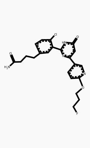 NC(=O)CCCc1ccc(Cl)c(-c2nc(-c3ccc(OCCCF)nc3)cc(=O)[nH]2)c1